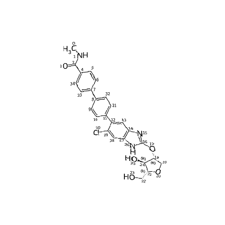 CNC(=O)c1ccc(-c2ccc(-c3cc4nc(O[C@@H]5CO[C@H](CO)[C@H]5O)[nH]c4cc3Cl)cc2)cc1